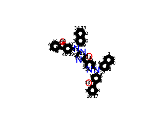 c1ccc2cc(N(c3ccc4c(c3)oc3ccccc34)c3cc4oc5nc(N(c6ccc7ccccc7c6)c6ccc7c(c6)oc6ccccc67)cnc5c4cn3)ccc2c1